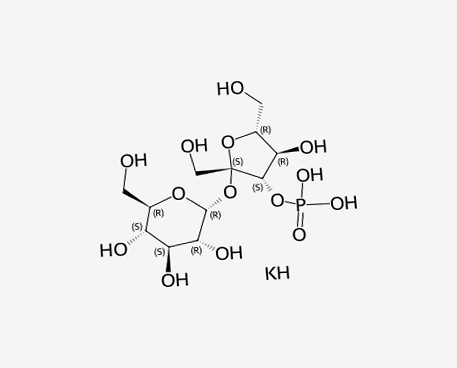 O=P(O)(O)O[C@H]1[C@H](O)[C@@H](CO)O[C@@]1(CO)O[C@H]1O[C@H](CO)[C@@H](O)[C@H](O)[C@H]1O.[KH]